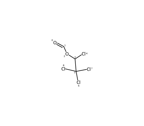 O=COC(Cl)C(Cl)(Cl)Cl